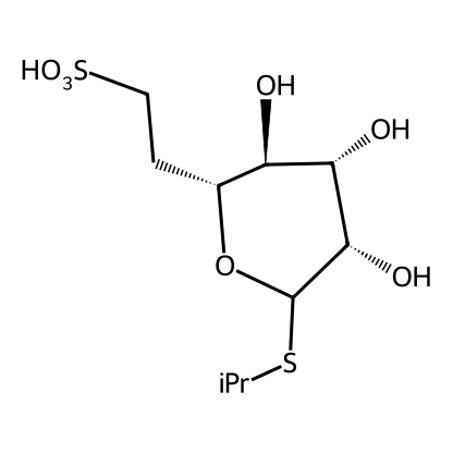 CC(C)SC1O[C@H](CCS(=O)(=O)O)[C@@H](O)[C@H](O)[C@@H]1O